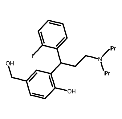 CC(C)N(CCC(c1cc(CO)ccc1O)c1ccccc1I)C(C)C